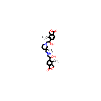 Cc1c(C(O)CNCC2(C)CCCN(CC(O)c3ccc4c(c3C)COC4=O)C2)ccc2c1COC2=O